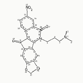 CN(C)CCCn1c2c(c3ccc([N+](=O)[O-])cc3c1=O)C(=O)c1cc3c(cc1-2)OCO3